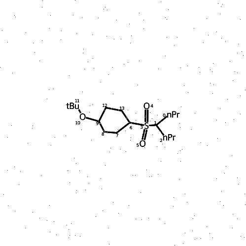 CCCC(CCC)S(=O)(=O)C1CCC(OC(C)(C)C)CC1